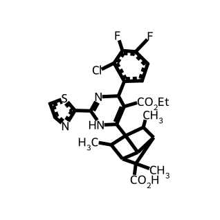 CCOC(=O)C1=C(C23C(C)C4C2C(C3C)C4(C)C(=O)O)NC(c2nccs2)=NC1c1ccc(F)c(F)c1Cl